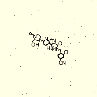 N#Cc1ccc(CNC(=O)c2ncc3nc(N4CCN(C5CC5)[C@H](CO)C4)ccc3c2O)c(Cl)c1